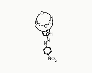 O=[N+]([O-])c1ccc(/N=N/c2cc3c(O)c(c2)CCN2CCOCCN(CCOCC2)CC3)cc1